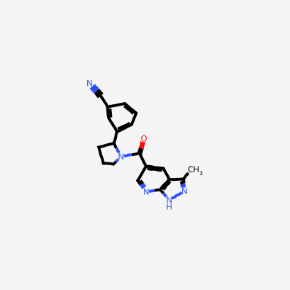 Cc1n[nH]c2ncc(C(=O)N3CCCC3c3cccc(C#N)c3)cc12